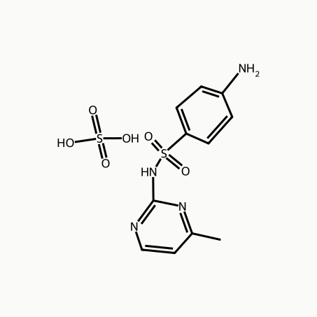 Cc1ccnc(NS(=O)(=O)c2ccc(N)cc2)n1.O=S(=O)(O)O